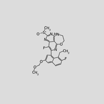 CCc1c(F)ccc2cc(OCOC)cc(-c3nc4c5c(nc([S+](C)[O-])nc5c3F)NCCO4)c12